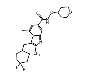 Cc1cc(C(=O)NOC2CCOCC2)cc2nc(C(F)(F)F)c(CC3CCC(F)(F)CC3)n12